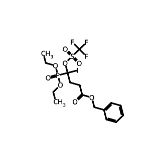 CCOP(=O)(OCC)C(I)(CCC(=O)OCc1ccccc1)OS(=O)(=O)C(F)(F)F